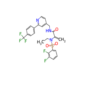 C=C(C(=O)NCc1ccnc(-c2ccc(C(F)(F)F)cc2)c1)N(CC)S(=O)(=O)c1cccc(F)c1F